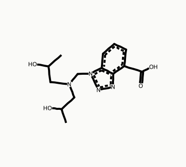 CC(O)CN(CC(C)O)Cn1nnc2c(C(=O)O)cccc21